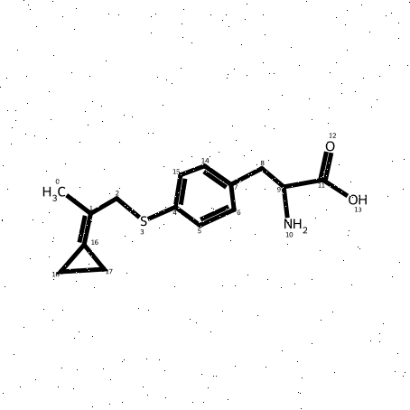 CC(CSc1ccc(CC(N)C(=O)O)cc1)=C1CC1